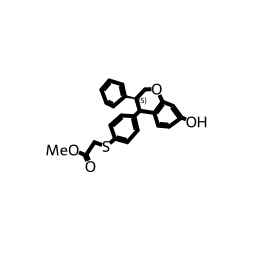 COC(=O)CSc1ccc(C2c3ccc(O)cc3OC[C@@H]2c2ccccc2)cc1